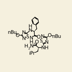 CCCCOc1nsc(N[C@@H](CC(C)C)C(N)=O)n1.CCCCOc1nsc(N[C@@H](Cc2ccccc2)C(N)=O)n1